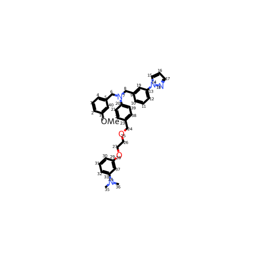 COc1cccc(CN(Cc2cccc(-n3cccn3)c2)c2ccc(COCCOc3cccc(N(C)C)c3)cc2)c1